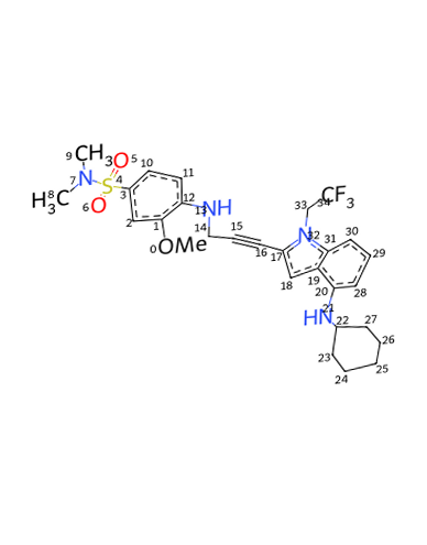 COc1cc(S(=O)(=O)N(C)C)ccc1NCC#Cc1cc2c(NC3CCCCC3)cccc2n1CC(F)(F)F